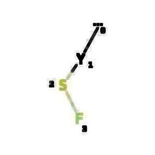 [C][Y][S]F